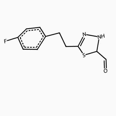 O=CC1NN=C(CCc2ccc(F)cc2)S1